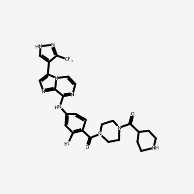 CCc1cc(Nc2nccn3c(-c4c[nH]nc4C(F)(F)F)cnc23)ccc1C(=O)N1CCN(C(=O)C2CCNCC2)CC1